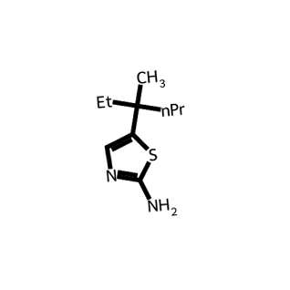 CCCC(C)(CC)c1cnc(N)s1